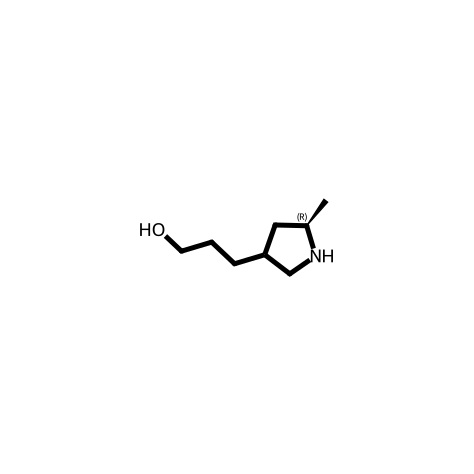 C[C@@H]1CC(CCCO)CN1